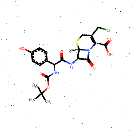 CC(C)(C)OC(=O)NC(C(=O)N[C@@H]1C(=O)N2C(C(=O)O)=C(CCl)CS[C@@H]12)c1ccc(O)cc1